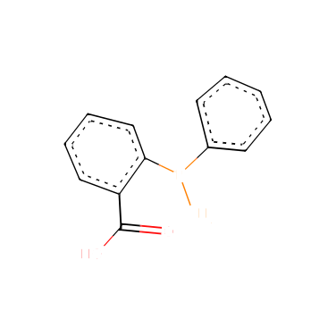 O=C(O)c1ccccc1P(P)c1ccccc1